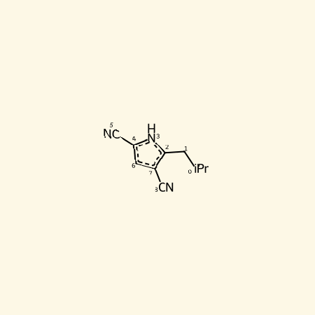 CC(C)Cc1[nH]c(C#N)cc1C#N